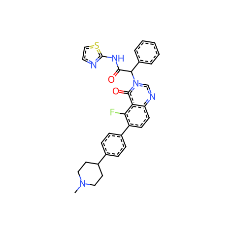 CN1CCC(c2ccc(-c3ccc4ncn(C(C(=O)Nc5nccs5)c5ccccc5)c(=O)c4c3F)cc2)CC1